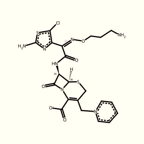 NCCCO/N=C(\C(=O)N[C@@H]1C(=O)N2C(C(=O)[O-])=C(C[n+]3ccccc3)CS[C@H]12)c1nc(N)sc1Cl